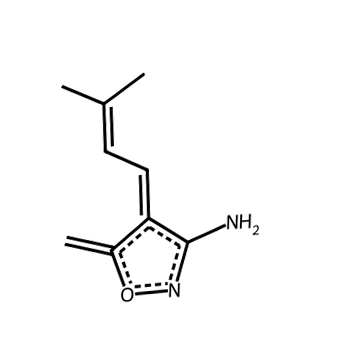 C=c1onc(N)/c1=C/C=C(C)C